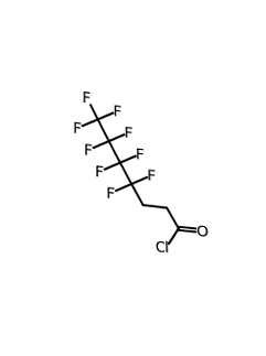 O=C(Cl)CCC(F)(F)C(F)(F)C(F)(F)C(F)(F)F